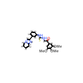 COc1cc(C(=O)CNC(=S)Nc2cccc(-c3cn4ccccc4n3)c2)cc(OC)c1OC